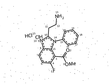 COC(=O)c1c(F)ccc2nc(CCN)n(-c3ccccc3)c12.Cl.Cl